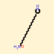 C1=CC=CNC=C1.CCCCCCCCCCCCCCCCCCCCCC(N)=O